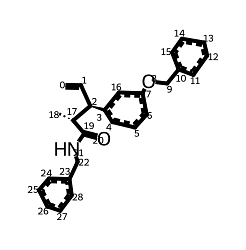 C=C[C@@H](c1cccc(OCc2ccccc2)c1)[C@@H](C)C(=O)NCc1ccccc1